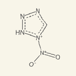 O=[N+]([O-])[n+]1cnn[nH]1